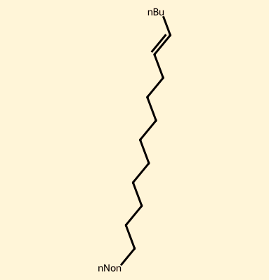 [CH2]CCC/C=C/CCCCCCCCCCCCCCCCC[CH2]